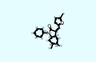 Cc1ccc(/C=C2\C(=O)N(c3ccccc3)c3cc(C)c(C)cc32)o1